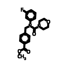 COC(=O)c1ccc(CN(C(=O)N2CCOCC2)c2cccc(F)c2)cc1